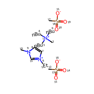 CCCC[N+](C)(CCCC)CCCC.CC[n+]1ccn(C)c1.CS(=O)(=O)[O-].CS(=O)(=O)[O-]